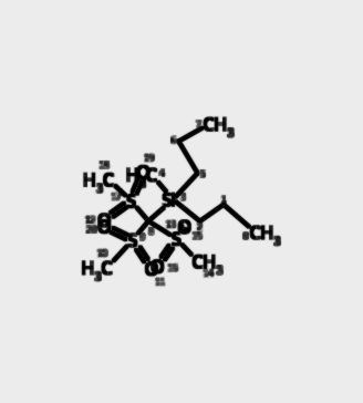 CCC[Si](C)(CCC)C(S(C)(=O)=O)(S(C)(=O)=O)S(C)(=O)=O